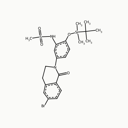 CC(C)(C)[Si](C)(C)Oc1ccc(N2CCc3cc(Br)ccc3C2=O)cc1NS(C)(=O)=O